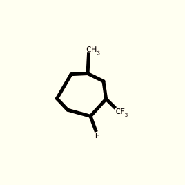 CC1CCCC(F)C(C(F)(F)F)C1